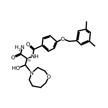 Cc1cc(C)cc(COc2ccc(C(=O)N[C@H](C(N)=O)C(O)N3CCCCOCC3)cc2)c1